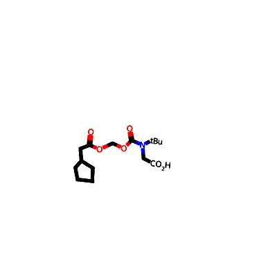 CC(C)(C)N(CC(=O)O)C(=O)OCOC(=O)CC1CCCC1